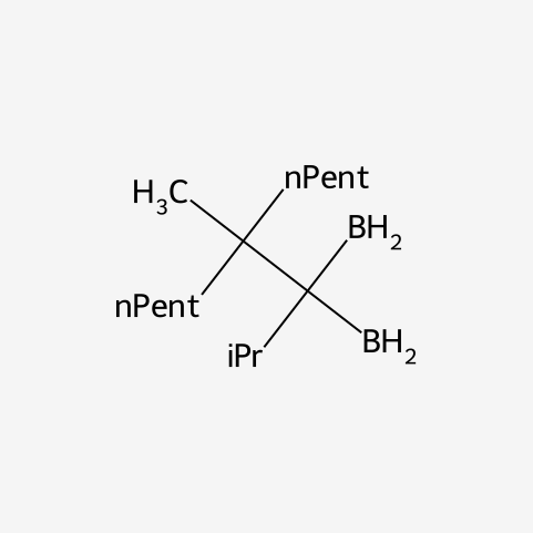 BC(B)(C(C)C)C(C)(CCCCC)CCCCC